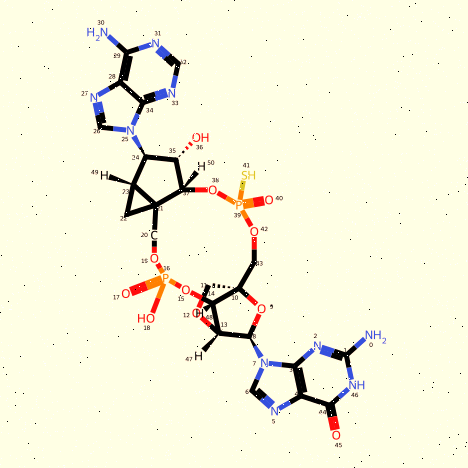 Nc1nc2c(ncn2[C@@H]2O[C@@]34CO[C@@H]2[C@@H]3OP(=O)(O)OCC23C[C@@H]2[C@@H](n2cnc5c(N)ncnc52)[C@H](O)[C@@H]3OP(=O)(S)OC4)c(=O)[nH]1